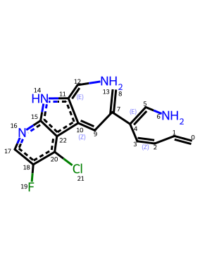 C=C/C=C\C(=C/N)C(=C)/C=c1\c(=C/N)[nH]c2ncc(F)c(Cl)c12